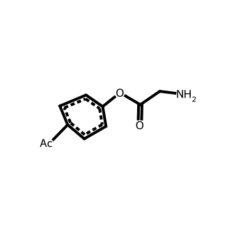 CC(=O)c1ccc(OC(=O)CN)cc1